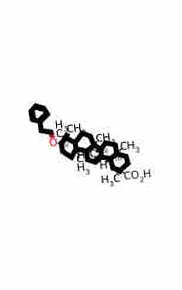 CC1(C)C2CC[C@]3(C)C(CC=C4[C@@H]5C[C@@](C)(C(=O)O)CC[C@]5(C)CC[C@]43C)[C@@]2(C)CC[C@@H]1OCCc1ccccc1